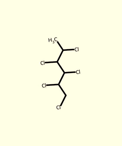 CC(Cl)C(Cl)C(Cl)C(Cl)CCl